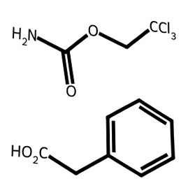 NC(=O)OCC(Cl)(Cl)Cl.O=C(O)Cc1ccccc1